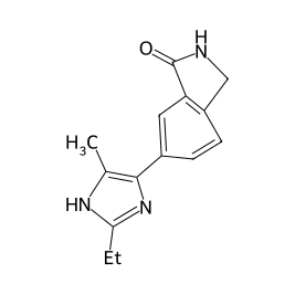 CCc1nc(-c2ccc3c(c2)C(=O)NC3)c(C)[nH]1